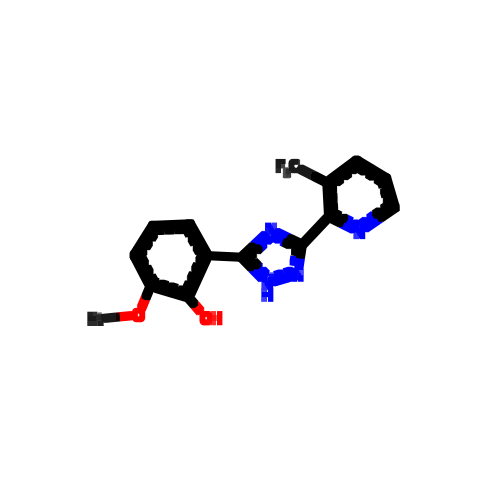 CCOc1cccc(-c2nc(-c3ncccc3C(F)(F)F)n[nH]2)c1O